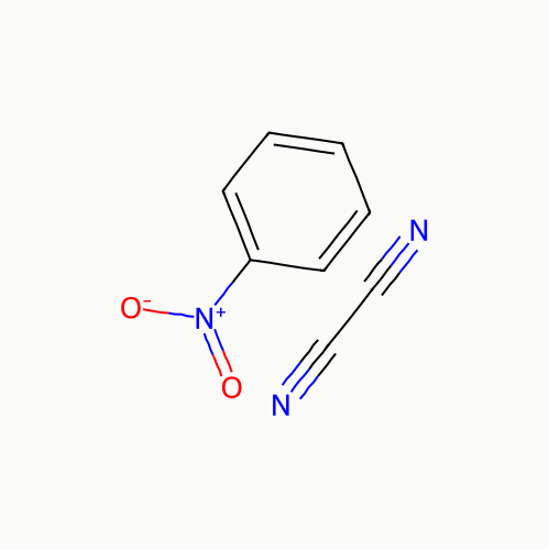 N#CC#N.O=[N+]([O-])c1ccccc1